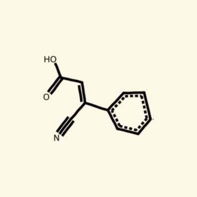 N#CC(=CC(=O)O)c1cc[c]cc1